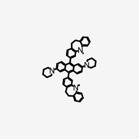 CN1c2ccccc2CCc2ccc(-c3c4ccc(N5CCCCC5)cc4c(-c4ccc5c(c4)N(C)c4ccccc4CC5)c4ccc(N5CCCCC5)cc34)cc21